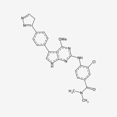 COc1nc(Nc2ccc(C(=O)N(C)C)cc2Cl)nc2[nH]cc(-c3ccc(C4=NN=CC4)cc3)c12